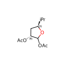 CC(=O)OC1O[C@H](C(C)C)C[C@H]1OC(C)=O